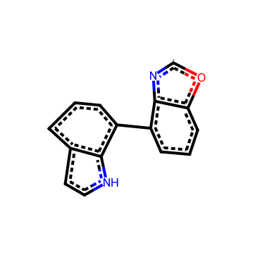 [c]1nc2c(-c3cccc4cc[nH]c34)cccc2o1